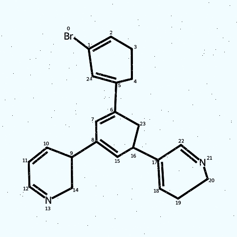 BrC1=CCCC(C2=CC(C3C=CC=NC3)=CC(C3=CCCN=C3)C2)=C1